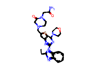 CCc1nc2ccccc2n1-c1nc(N2CCOCC2)c2sc(CN3CCN(CC(N)=O)C(=O)C3)cc2n1